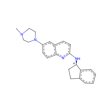 CN1CCN(c2ccc3nc(N[C@@H]4CCc5ccccc54)ccc3c2)CC1